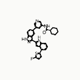 O=C(Nc1cncc(-c2ccc3[nH]nc(-c4cc5c(-c6ccc(F)s6)cccc5[nH]4)c3c2)c1)C1CCCCC1